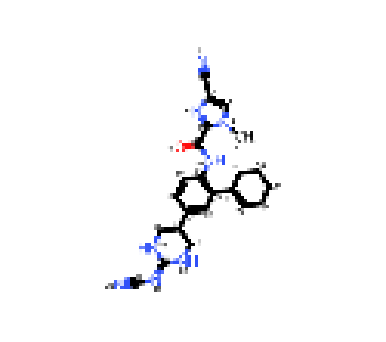 Cn1cc(C#N)nc1C(=O)Nc1ccc(C2CNC(=NC#N)NC2)cc1C1=CCCCC1